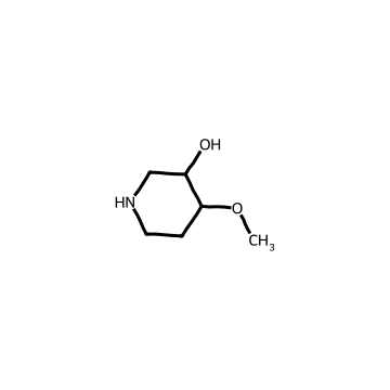 COC1CCNCC1O